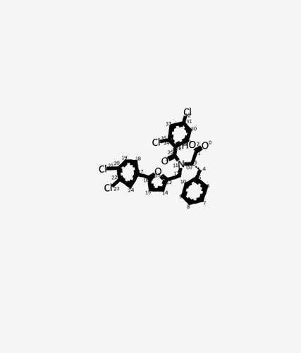 O=C(O)[C@H](Cc1ccccc1)N(Cc1ccc(-c2ccc(Cl)c(Cl)c2)o1)C(=O)c1ccc(Cl)cc1Cl